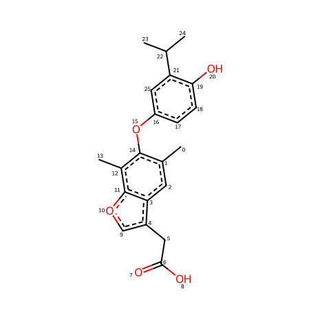 Cc1cc2c(CC(=O)O)coc2c(C)c1Oc1ccc(O)c(C(C)C)c1